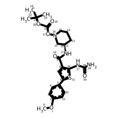 COc1ccc(-c2cc(C(=O)N[C@@H]3CCCN(OC(=O)OC(C)(C)C)C3)c(NC(N)=O)s2)cc1